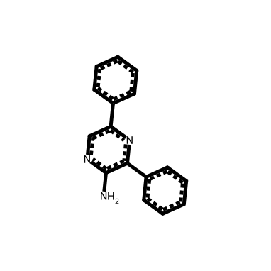 Nc1ncc(-c2ccccc2)nc1-c1ccccc1